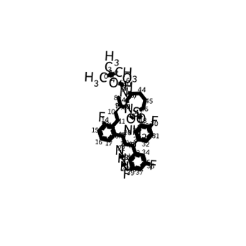 CC(C)(C)OC(=O)N1C[C@H](CCc2c(F)cccc2[C@H](N)[C@@H](N=[N+]=[N-])[C@@H](c2ccc(F)cc2)c2cc(F)cc(F)c2)[N@]2C[C@@H]1CCCS2(=O)=O